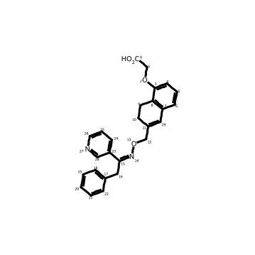 O=C(O)COc1cccc2c1CCC(CON=C(Cc1ccccc1)c1cccnc1)=C2